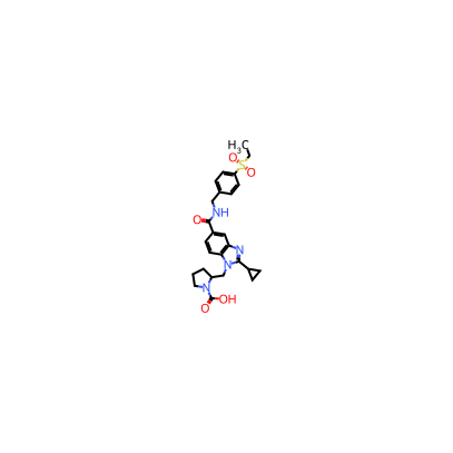 CCS(=O)(=O)c1ccc(CNC(=O)c2ccc3c(c2)nc(C2CC2)n3CC2CCCN2C(=O)O)cc1